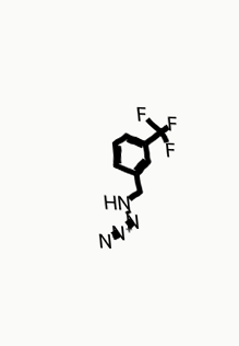 [N-]=[N+]=NNCc1cccc(C(F)(F)F)c1